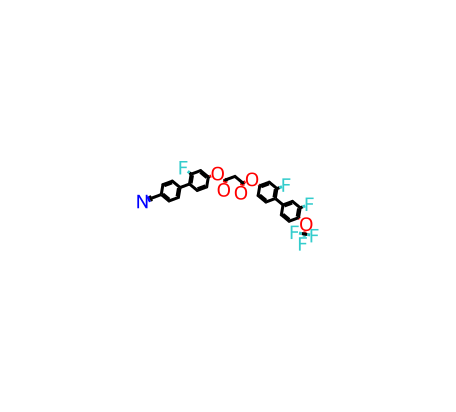 N#Cc1ccc(-c2ccc(OC(=O)CC(=O)Oc3ccc(-c4ccc(OC(F)(F)F)c(F)c4)c(F)c3)cc2F)cc1